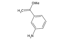 C=C(OC)c1cccc(N)c1